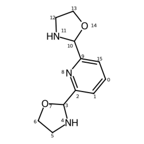 c1cc(C2NCCO2)nc(C2NCCO2)c1